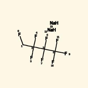 FCC(F)(F)C(F)(F)C(F)(F)F.[NaH].[NaH]